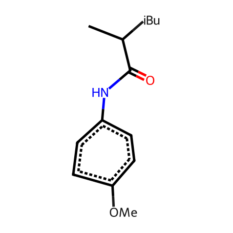 CCC(C)C(C)C(=O)Nc1ccc(OC)cc1